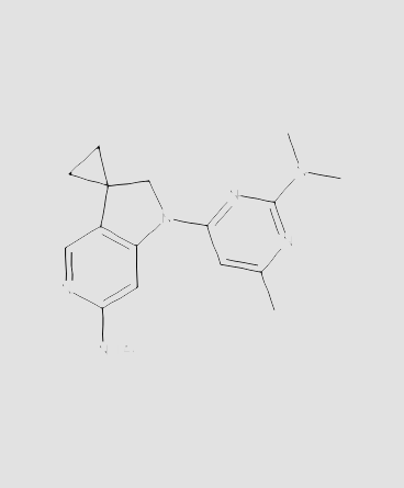 CC(=O)Nc1cc2c(cn1)C1(CC1)CN2c1cc(C)nc(N(C)C)n1